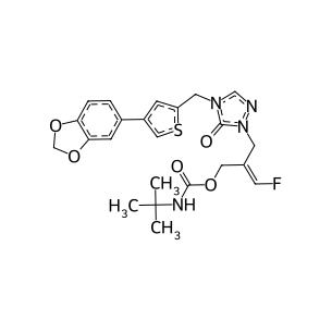 CC(C)(C)NC(=O)OC/C(=C/F)Cn1ncn(Cc2cc(-c3ccc4c(c3)OCO4)cs2)c1=O